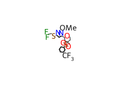 COCn1nc(SCC(F)F)cc1C1CC(C)(S(=O)(=O)c2cccc(C(F)(F)F)c2)CCO1